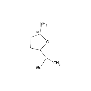 B[C@H]1CCC(C(C)C(C)CC)O1